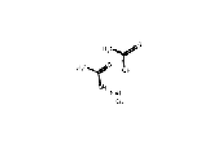 CC(=O)O.CC(=O)O.[Cu].[NaH]